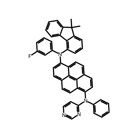 CC1(C)c2ccccc2-c2c(N(c3cccc(F)c3)c3ccc4ccc5c(N(c6ccccc6)c6ccncn6)ccc6ccc3c4c65)cccc21